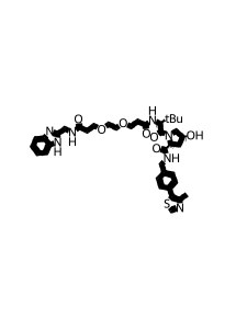 Cc1ncsc1-c1ccc(CNC(=O)[C@@H]2C[C@@H](O)CN2C(=O)[C@@H](NC(=O)CCOCCOCCC(=O)NCc2nc3ccccc3[nH]2)C(C)(C)C)cc1